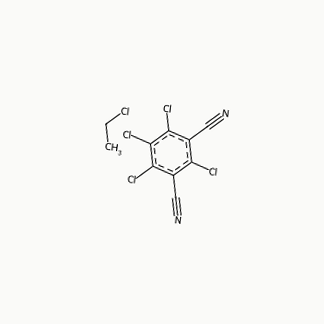 CCCl.N#Cc1c(Cl)c(Cl)c(Cl)c(C#N)c1Cl